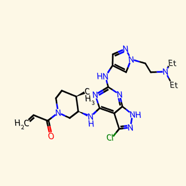 C=CC(=O)N1CC[C@@H](C)[C@@H](Nc2nc(Nc3cnn(CCN(CC)CC)c3)nc3[nH]nc(Cl)c23)C1